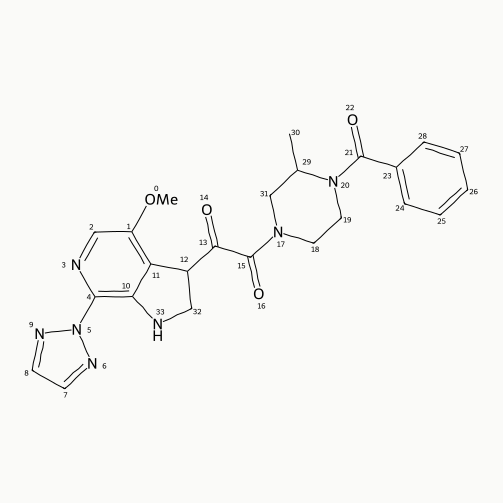 COc1cnc(-n2nccn2)c2c1C(C(=O)C(=O)N1CCN(C(=O)c3ccccc3)C(C)C1)CN2